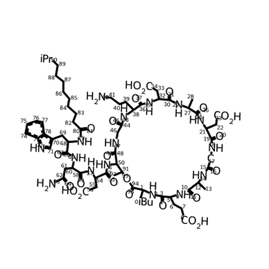 CCC(C)C1NC(=O)C(CCC(=O)O)NC(=O)C(C)NC(=O)CNC(=O)C(CC(=O)O)NC(=O)C(C)NC(=O)C(CC(=O)O)NC(=O)C(CCCN)NC(=O)CNC(=O)C(NC(=O)C(CC(=O)O)NC(=O)C(CC(N)=O)NC(=O)C(Cc2c[nH]c3ccccc23)NC(=O)CCCCCCCCC(C)C)C(C)OC1=O